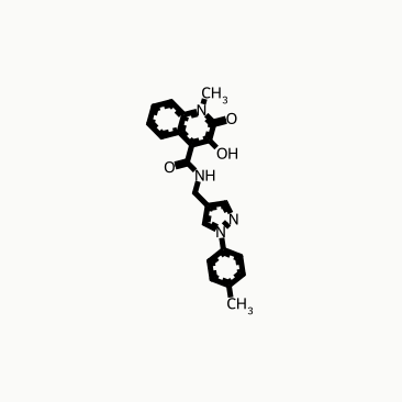 Cc1ccc(-n2cc(CNC(=O)c3c(O)c(=O)n(C)c4ccccc34)cn2)cc1